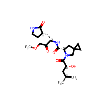 C[C@H](C[C@@H](O)C(=O)N1CC2(CC2)C[C@H]1C(=O)N[C@@H](C[C@@H]1CCNC1=O)C(=O)COC(F)(F)F)C(F)(F)F